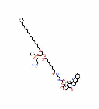 CCCCCCCCCCCCCCCCCOCC(COP(C)(=O)CCCN)OC(=O)CCCCCCCC(=O)NCCNC(=O)O[C@]1(CC)C(=O)OCc2c1cc1n(c2=O)Cc2cc3ccccc3nc2-1